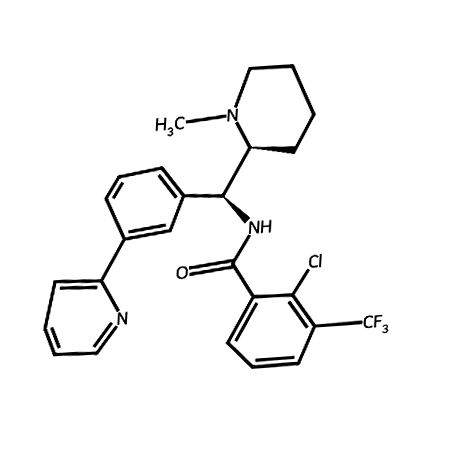 CN1CCCC[C@H]1[C@@H](NC(=O)c1cccc(C(F)(F)F)c1Cl)c1cccc(-c2ccccn2)c1